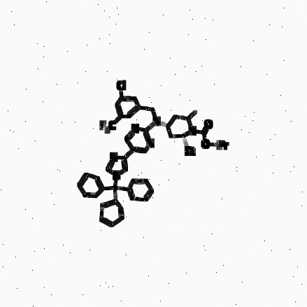 CC[C@@H]1C[C@H](N(Cc2cc(Cl)cc(C(F)(F)F)c2)c2ncc(-c3cn(C(c4ccccc4)(c4ccccc4)c4ccccc4)cn3)cn2)CC(C)N1C(=O)OC(C)C